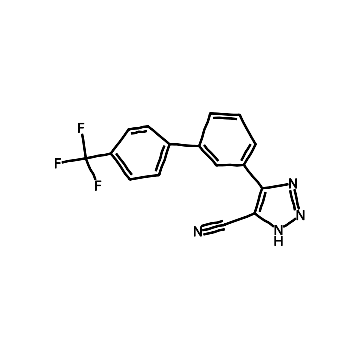 N#Cc1[nH]nnc1-c1cccc(-c2ccc(C(F)(F)F)cc2)c1